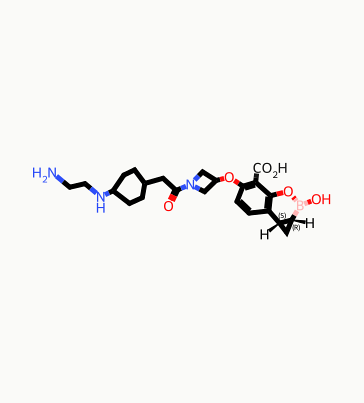 NCCNC1CCC(CC(=O)N2CC(Oc3ccc4c(c3C(=O)O)OB(O)[C@@H]3C[C@H]43)C2)CC1